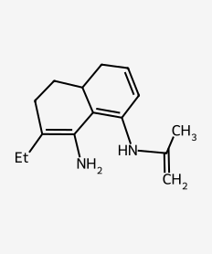 C=C(C)NC1=C2C(N)=C(CC)CCC2CC=C1